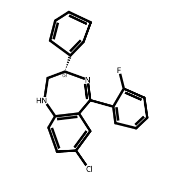 Fc1ccccc1C1=N[C@@H](c2ccccc2)CNc2ccc(Cl)cc21